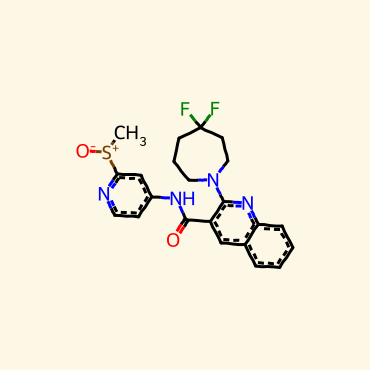 C[S+]([O-])c1cc(NC(=O)c2cc3ccccc3nc2N2CCCC(F)(F)CC2)ccn1